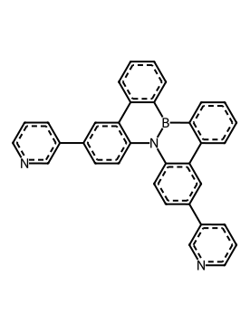 c1cncc(-c2ccc3c(c2)-c2ccccc2B2c4ccccc4-c4cc(-c5cccnc5)ccc4N23)c1